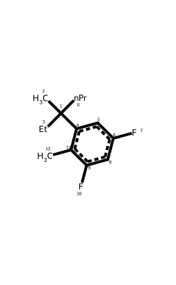 CCCC(C)(CC)c1cc(F)cc(F)c1C